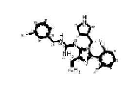 C=Cc1nc(-c2c(F)cccc2Cl)n(CC2CCNC2)c1/N=C(\N)NCc1cccc(F)c1